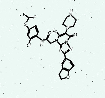 CCc1c(N2CCNCC2)c(=O)n2nc(-c3ccc4c(c3)CCO4)nc2n1CC(=O)Nc1ccc(SC(F)F)cc1Cl